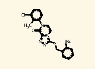 Cc1c(Cl)cccc1-n1ccn2c(SCc3ccccc3C(C)(C)C)nnc2c1=O